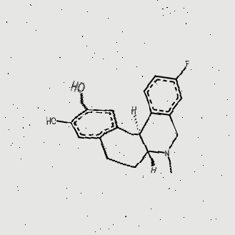 CN1Cc2cc(F)ccc2[C@@H]2c3cc(O)c(O)cc3CC[C@H]21